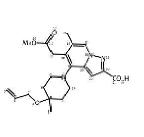 C=CCOC1(C)CCN(c2c(CC(=O)OC)c(C)cn3nc(C(=O)O)cc23)CC1